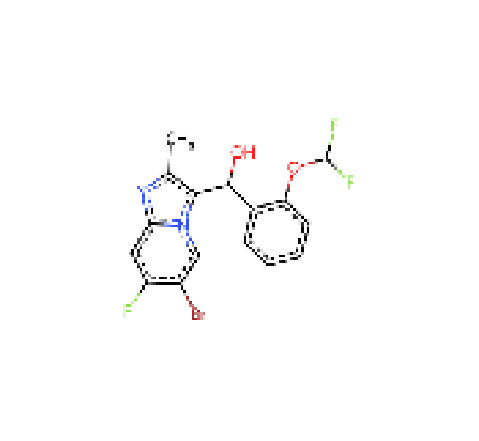 Cc1nc2cc(F)c(Br)cn2c1C(O)c1ccccc1OC(F)F